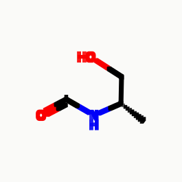 C[C@@H](CO)N[C]=O